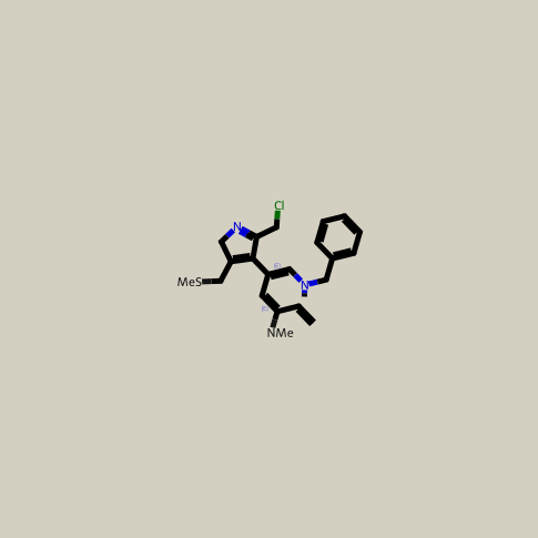 C=C/C(=C\C(=C/N(C)Cc1ccccc1)C1=C(CSC)CN=C1CCl)NC